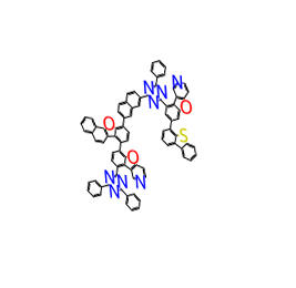 c1ccc(-c2nc(-c3ccc4ccc(-c5ccc(-c6ccc(-c7nc(-c8ccccc8)nc(-c8ccccc8)n7)c7c6oc6ccncc67)c6c5oc5c7ccccc7ccc56)cc4c3)nc(-c3cc(-c4cccc5c4sc4ccccc45)cc4oc5ccncc5c34)n2)cc1